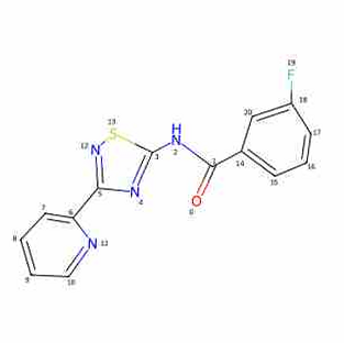 O=C(Nc1nc(-c2ccccn2)ns1)c1cccc(F)c1